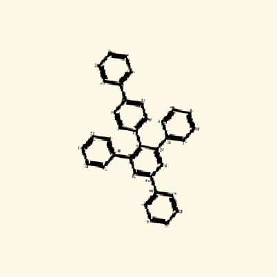 c1ccc(-c2ccc(-c3c(-c4ccccc4)cc(-c4ccccc4)cc3-c3ccccc3)cc2)cc1